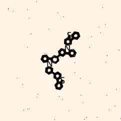 C1=C(c2ccc3c(c2)c2ccccc2n3-c2ccc3sc4ccccc4c3c2)CCc2c1c1ccccc1n2-c1cccc(-c2ccc3sc4ccccc4c3c2)c1